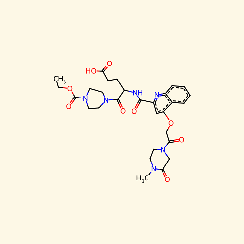 CCOC(=O)N1CCN(C(=O)C(CCC(=O)O)NC(=O)c2cc(OCC(=O)N3CCN(C)C(=O)C3)c3ccccc3n2)CC1